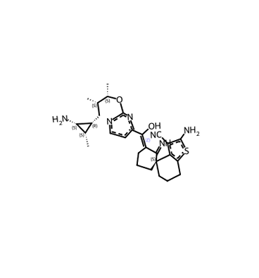 C[C@@H]1[C@H](N)[C@@H]1C[C@H](C)[C@H](C)Oc1nccc(/C(O)=C2\CCC[C@@]3(CCCc4sc(N)c(C#N)c43)C2=N)n1